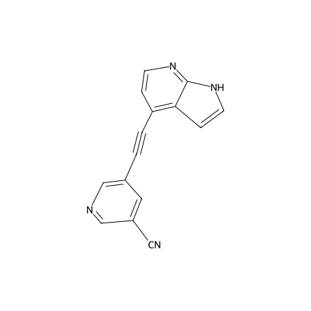 N#Cc1cncc(C#Cc2ccnc3[nH]ccc23)c1